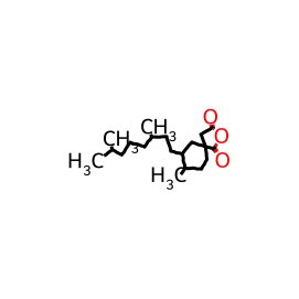 CC(C)CCCC(C)CCC1CC2(CCC1C)CC(=O)OC2=O